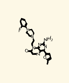 Cc1ccc(-c2nc(N)nc3c2ncc(=O)n3CCN2CCN(c3ccccc3F)CC2)o1